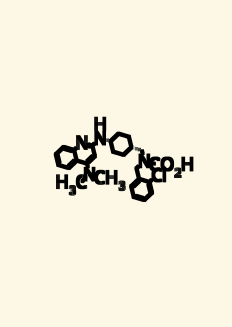 CN(C)c1cc(N[C@H]2CC[C@@H](CN(Cc3ccccc3Cl)C(=O)O)CC2)nc2ccccc12